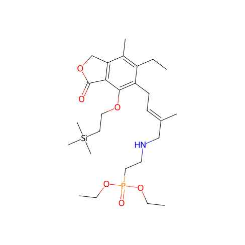 CCOP(=O)(CCNC/C(C)=C/Cc1c(CC)c(C)c2c(c1OCC[Si](C)(C)C)C(=O)OC2)OCC